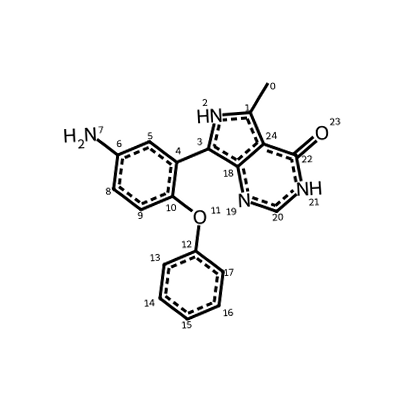 Cc1[nH]c(-c2cc(N)ccc2Oc2ccccc2)c2nc[nH]c(=O)c12